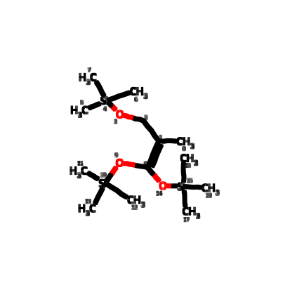 CC(CO[Si](C)(C)C)=C(O[Si](C)(C)C)O[Si](C)(C)C